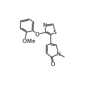 COc1ccccc1Oc1ncsc1-c1ccc(=O)n(C)c1